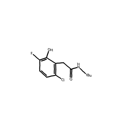 CC(C)(C)NC(=O)Cc1c(Cl)ccc(F)c1O